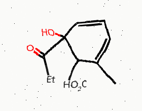 CCC(=O)C1(O)C=CC=C(C)C1C(=O)O